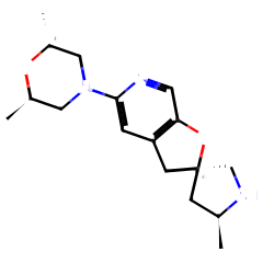 C[C@@H]1CN(c2cc3c(cn2)O[C@]2(CN[C@@H](C)C2)C3)C[C@@H](C)O1